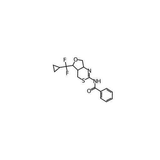 O=C(NC1=NC2COC(C(F)(F)C3CC3)C2CS1)c1ccccc1